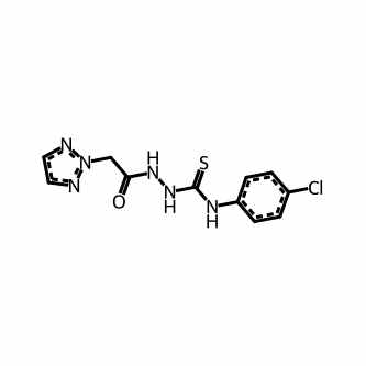 O=C(Cn1nccn1)NNC(=S)Nc1ccc(Cl)cc1